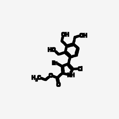 CCOC(=O)c1[nH]c(Cl)c(-c2ccc(CO)c(CO)c2CO)c1Br